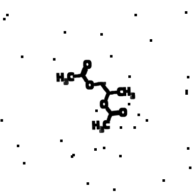 CC(=O)O[CH]C(C)OC(C)=O